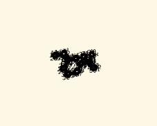 c1ccc(-c2ccc(-c3nc(-c4cccc(-c5ccccc5)c4)nc(-c4cccc(-c5cccc(-c6cccc(-c7cccc(-c8nc(-c9ccccc9)nc(-c9ccccc9)n8)c7)c6)c5)c4)n3)cc2)cc1